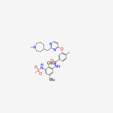 COc1c(NC(=O)c2ccc(C)c(Oc3ccnc(CC4CCCN(C)CC4)n3)c2)cc(C(C)(C)C)cc1NS(C)(=O)=O